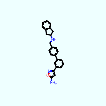 Nc1cc(-c2cccc(-c3ccc(CNC4Cc5ccccc5C4)cc3)c2)no1